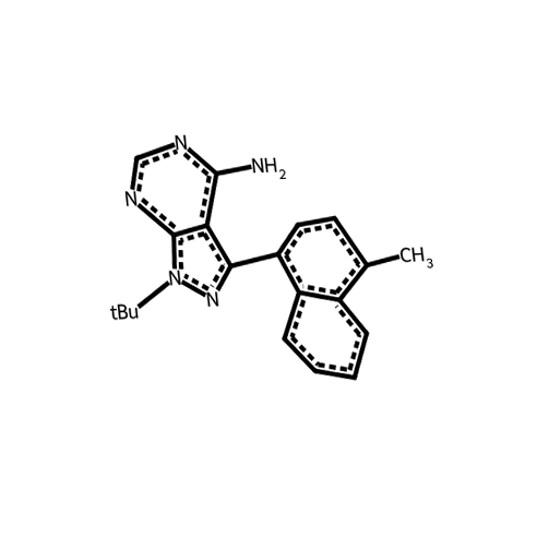 Cc1ccc(-c2nn(C(C)(C)C)c3ncnc(N)c23)c2ccccc12